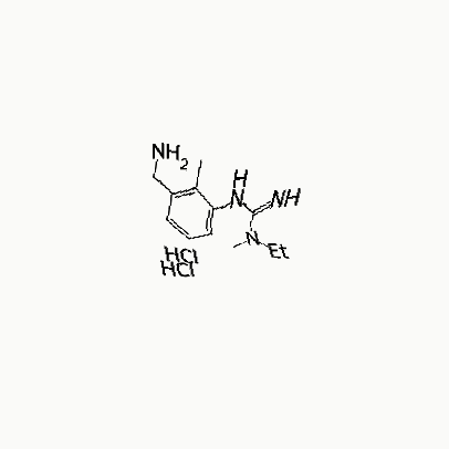 CCN(C)C(=N)Nc1cccc(CN)c1C.Cl.Cl